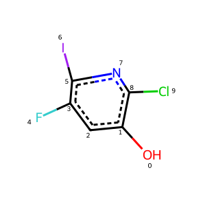 Oc1cc(F)c(I)nc1Cl